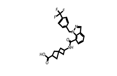 O=C(NC1CC2(C1)CC(C(=O)O)C2)c1cccc2cnn(Cc3ccc(C(F)(F)F)cc3)c12